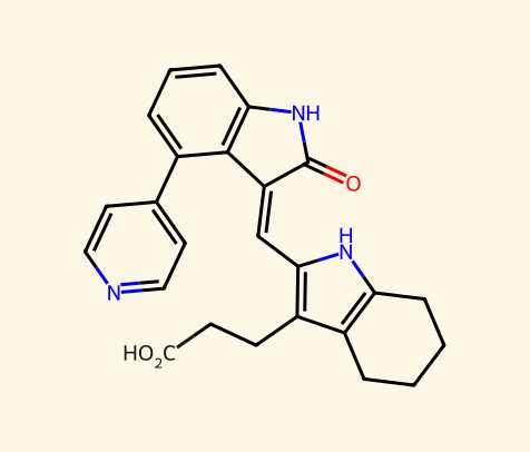 O=C(O)CCc1c(/C=C2\C(=O)Nc3cccc(-c4ccncc4)c32)[nH]c2c1CCCC2